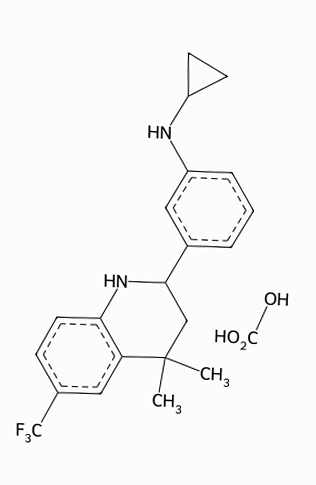 CC1(C)CC(c2cccc(NC3CC3)c2)Nc2ccc(C(F)(F)F)cc21.O=C(O)O